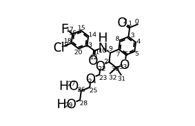 CC(=O)c1ccc2c(c1)[C@H](NC(=O)c1ccc(F)c(Cl)c1)[C@H](OCOC[C@H](O)CO)C(C)(C)O2